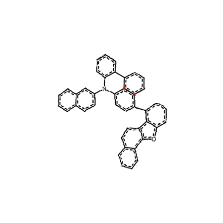 c1ccc(-c2ccccc2N(c2ccc(-c3cccc4oc5c6ccccc6ccc5c34)cc2)c2ccc3ccccc3c2)cc1